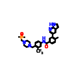 Cc1ccc(C(=O)Nc2ccc(CN3CCN(CP(C)(C)=O)CC3)c(C(F)(F)F)c2)cc1-c1cnc2[nH]ccc2c1